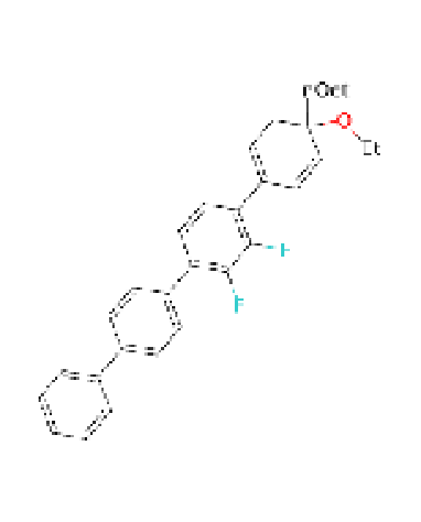 CCCCCCCCC1(OCC)C=CC(c2ccc(-c3ccc(-c4ccccc4)cc3)c(F)c2F)=CC1